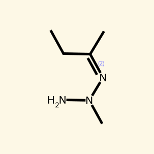 CC/C(C)=N\N(C)N